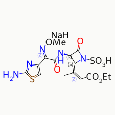 CCOC(=O)/C=C(/C)[C@H]1[C@@H](NC(=O)/C(=N\OC)c2csc(N)n2)C(=O)N1S(=O)(=O)O.[NaH]